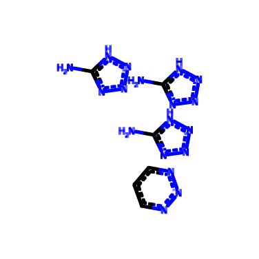 Nc1nnn[nH]1.Nc1nnn[nH]1.Nc1nnn[nH]1.c1cnnnc1